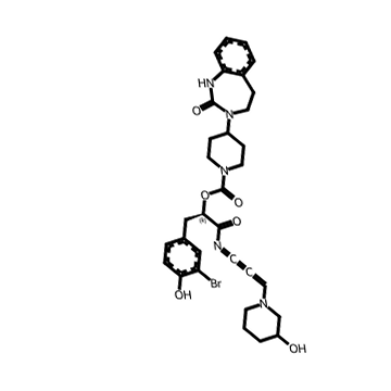 O=C(N=C=C=CN1CCCC(O)C1)[C@@H](Cc1ccc(O)c(Br)c1)OC(=O)N1CCC(N2CCc3ccccc3NC2=O)CC1